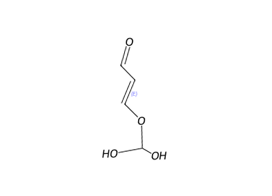 O=C/C=C/OC(O)O